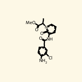 COC(=O)C(C)n1cccc(NC(=O)c2ccc(N)c(Cl)c2)c1=O